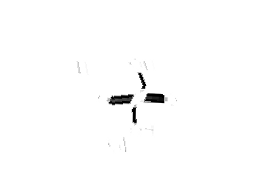 F.O=S(=O)(O)O.[Cd]